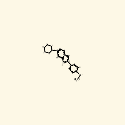 COc1ccc(-c2cn3ccc(N4CCCCC4)cc3n2)cc1